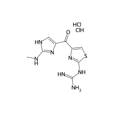 CNc1nc(C(=O)c2csc(NC(=N)N)n2)c[nH]1.Cl.Cl